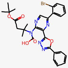 CC(C)(C)OC(=O)CC(C)(C)N(C(=O)O)c1ncc(-c2ccccc2Br)nc1-c1nnc(-c2ccccc2)o1